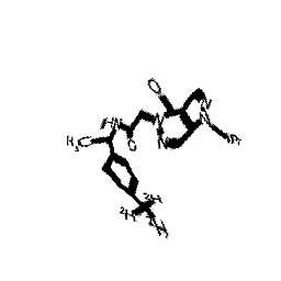 [2H]C([2H])([2H])c1ccc(C(C)NC(=O)Cn2ncc3c(cnn3C(C)C)c2=O)cc1